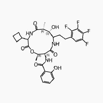 C[C@H]1OC(=O)C(C2CCC2)NC(=O)[C@H](C)[C@H](O)C(CCc2cc(F)c(F)c(F)c2F)NC(=O)[C@H]1NC(=O)c1ccccc1O